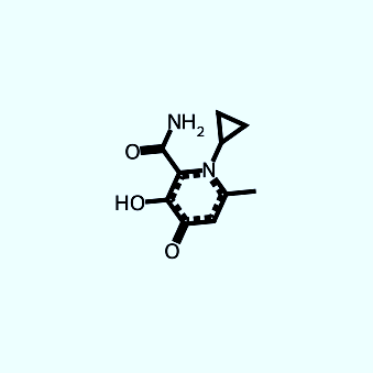 Cc1cc(=O)c(O)c(C(N)=O)n1C1CC1